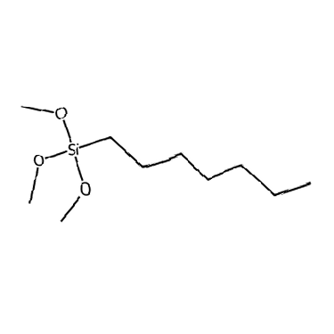 CCCCCCC[Si](OC)(OC)OC